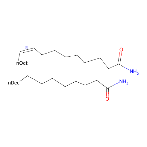 CCCCCCCC/C=C\CCCCCCCC(N)=O.CCCCCCCCCCCCCCCCCC(N)=O